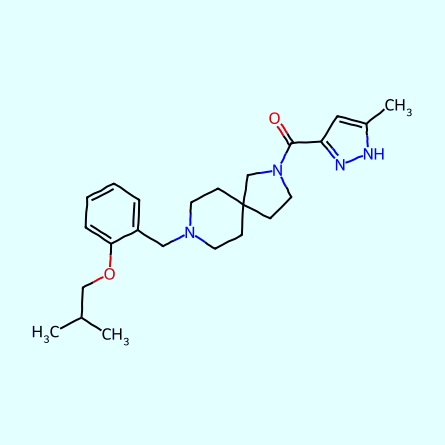 Cc1cc(C(=O)N2CCC3(CCN(Cc4ccccc4OCC(C)C)CC3)C2)n[nH]1